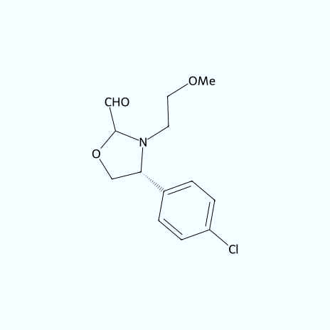 COCCN1C(C=O)OC[C@H]1c1ccc(Cl)cc1